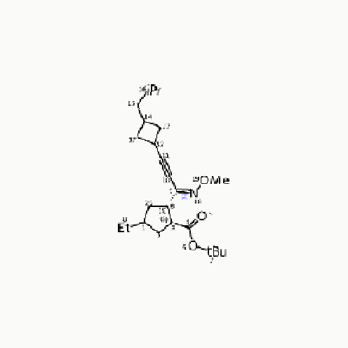 CCC1C[C@H](C(=O)OC(C)(C)C)[C@@H](/C(C#CC2CC(CC(C)C)C2)=N/OC)C1